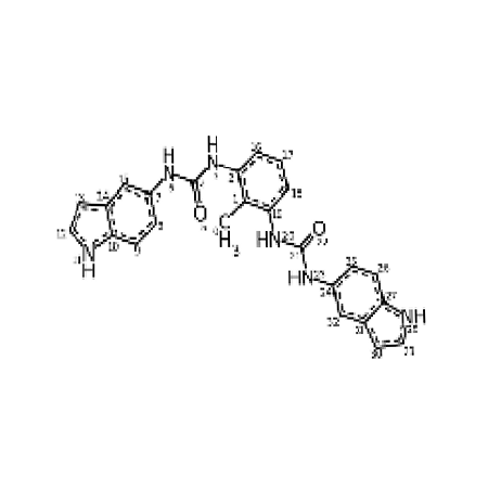 Cc1c(NC(=O)Nc2ccc3[nH]ccc3c2)cccc1NC(=O)Nc1ccc2[nH]ccc2c1